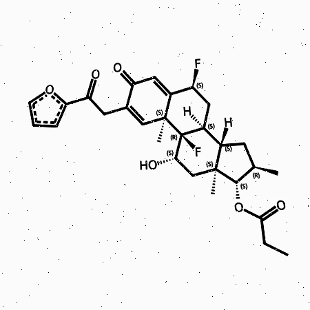 CCC(=O)O[C@H]1[C@H](C)C[C@H]2[C@@H]3C[C@H](F)C4=CC(=O)C(CC(=O)c5ccco5)=C[C@]4(C)[C@@]3(F)[C@@H](O)C[C@@]21C